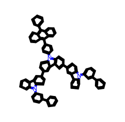 c1ccc(-c2cccc(-n3c4ccccc4c4cc(-c5ccc6c(c5)c5cc(-c7ccc8c(c7)c7ccccc7n8-c7cccc(-c8ccccc8)c7)ccc5n6-c5ccc(-c6c7ccccc7c(-c7ccccc7)c7ccccc67)cc5)ccc43)c2)cc1